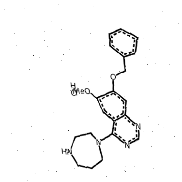 COc1cc2c(N3CCCNCC3)ncnc2cc1OCc1ccccc1.Cl